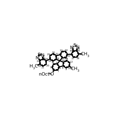 CCCCCCCCOc1ccc2c(c1)-c1cc(C)ccc1C21c2cc(-c3ccc(C)c4nsnc34)ccc2-c2ccc(-c3ccc(C)c4nsnc34)cc21